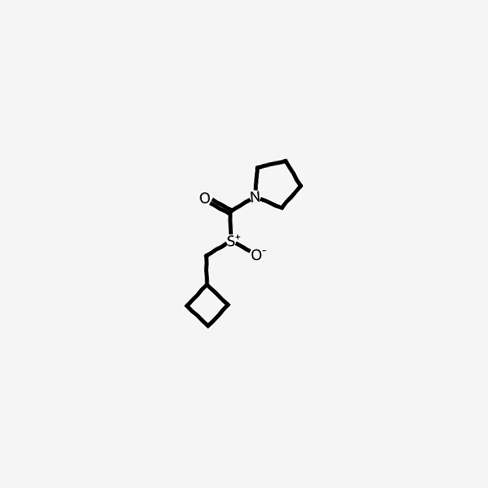 O=C(N1CCCC1)[S+]([O-])CC1CCC1